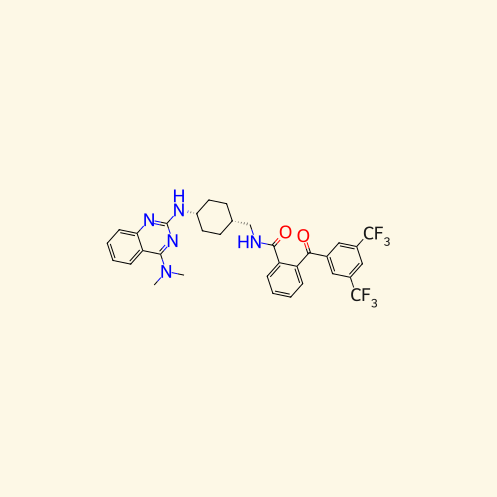 CN(C)c1nc(N[C@H]2CC[C@@H](CNC(=O)c3ccccc3C(=O)c3cc(C(F)(F)F)cc(C(F)(F)F)c3)CC2)nc2ccccc12